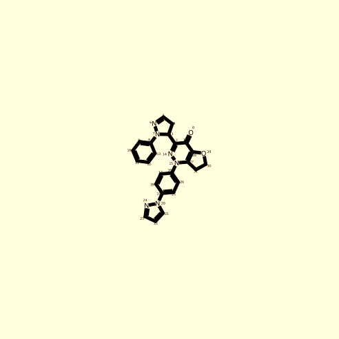 O=c1c(C2CC=NN2c2ccccc2)nn(-c2ccc(-n3cccn3)cc2)c2c1OCC2